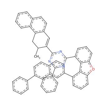 CC1Cc2c(ccc3ccccc23)C=C1c1nc(-c2ccccc2)nc(-c2cccc3oc4cccc(-c5ccc6ccc(-c7ccccc7)cc6c5)c4c23)n1